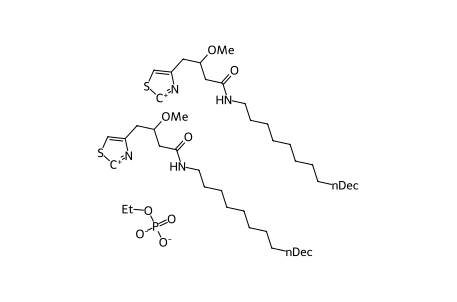 CCCCCCCCCCCCCCCCCCNC(=O)CC(CC1=CS[C+]=N1)OC.CCCCCCCCCCCCCCCCCCNC(=O)CC(CC1=CS[C+]=N1)OC.CCOP(=O)([O-])[O-]